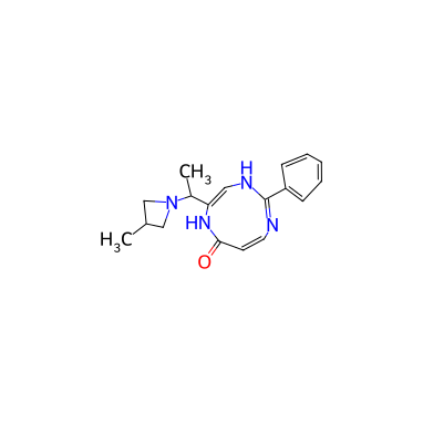 CC1CN(C(C)c2c[nH]c(-c3ccccc3)nccc(=O)[nH]2)C1